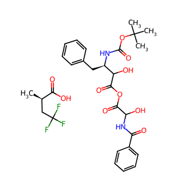 CC(C)(C)OC(=O)N[C@H](Cc1ccccc1)C(O)C(=O)OC(=O)C(O)NC(=O)c1ccccc1.C[C@H](CC(F)(F)F)C(=O)O